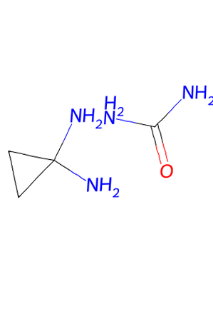 NC(N)=O.NC1(N)CC1